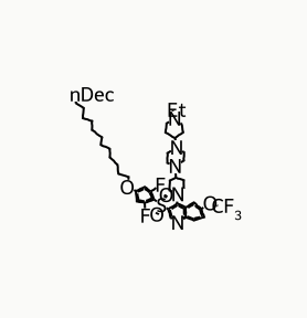 CCCCCCCCCCCCCCCCCCCCCCOc1cc(F)c(S(=O)(=O)c2cnc3ccc(OC(F)(F)F)cc3c2N2CCC(N3CCN(C4CCN(CC)CC4)CC3)CC2)c(F)c1